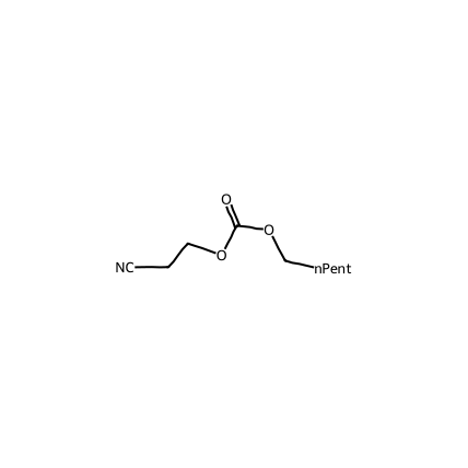 CCCCCCOC(=O)OCCC#N